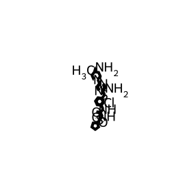 CC1(CN)CCN(c2cnc(Sc3cccc(NC(=O)NS(=O)(=O)C4CCCC4)c3Cl)c(N)n2)CC1